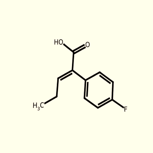 CC/C=C(/C(=O)O)c1ccc(F)cc1